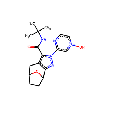 CC(C)(C)NC(=O)c1c2c(nn1-c1c[n+](O)ccn1)C1CCC(C2)O1